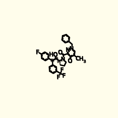 Cc1cn(Cc2ccccc2)nc(C(=O)N2CCC[C@@H]2[C@H](O)[C@H](c2ccc(F)cc2)c2cccc(C(F)(F)F)c2)c1=O